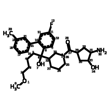 COCCCCC(O)(c1ccc(F)cc1-c1cccc(C)c1)C1CCCN(C(=O)C2CC(N)C(O)C2)C1